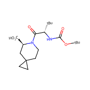 CC(C)(C)OC(=O)N[C@H](C(=O)N1CCC2(CC2)C[C@H]1C(=O)O)C(C)(C)C